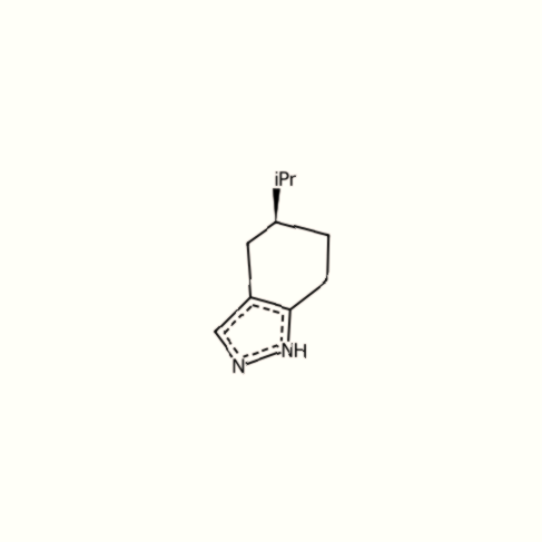 CC(C)[C@H]1CCc2[nH]ncc2C1